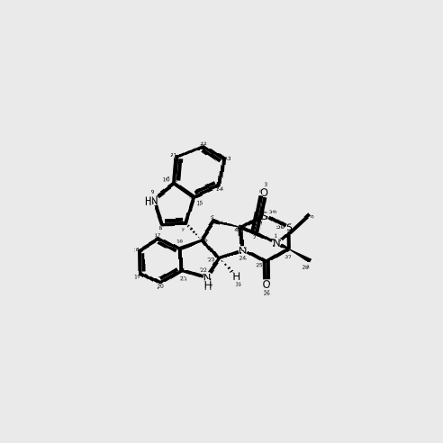 CN1C(=O)[C@]23C[C@]4(c5c[nH]c6ccccc56)c5ccccc5N[C@@H]4N2C(=O)[C@@]1(C)SS3